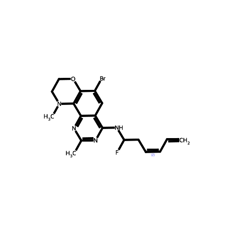 C=C/C=C\CC(F)Nc1nc(C)nc2c3c(c(Br)cc12)OCCN3C